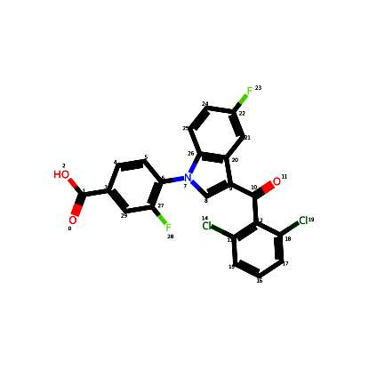 O=C(O)c1ccc(-n2cc(C(=O)c3c(Cl)cccc3Cl)c3cc(F)ccc32)c(F)c1